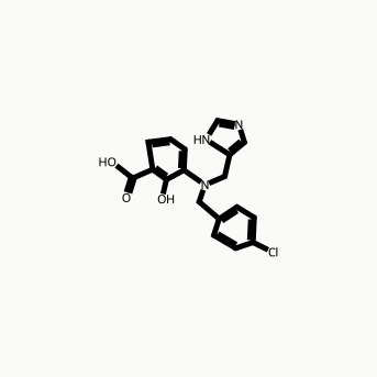 O=C(O)c1cccc(N(Cc2ccc(Cl)cc2)Cc2cnc[nH]2)c1O